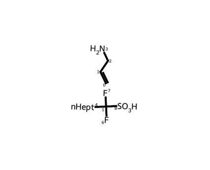 C=CCN.CCCCCCCC(F)(F)S(=O)(=O)O